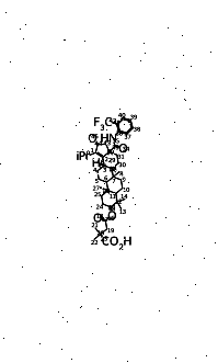 CC(C)C1=C2[C@H]3CCC4C(C)(CCC5C(C)(C)[C@@H](OC(=O)CC(C)(C)C(=O)O)CC[C@@]54C)[C@]3(C)CC[C@@]2(C(=O)Nc2ccccc2C(F)(F)F)CC1=O